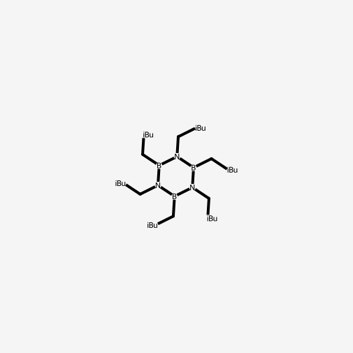 CCC(C)CB1N(CC(C)CC)B(CC(C)CC)N(CC(C)CC)B(CC(C)CC)N1CC(C)CC